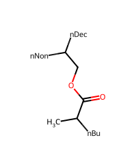 CCCCCCCCCCC(CCCCCCCCC)COC(=O)C(C)CCCC